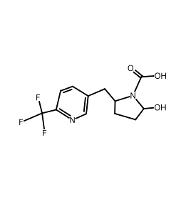 O=C(O)N1C(O)CCC1Cc1ccc(C(F)(F)F)nc1